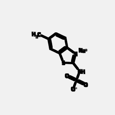 Cc1ccc2nc(NS(=O)(=O)[O-])sc2c1.[Na+]